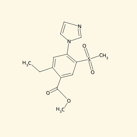 CCc1cc(-n2ccnc2)c(S(C)(=O)=O)cc1C(=O)OC